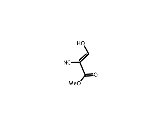 COC(=O)/C(C#N)=C/O